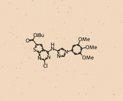 COc1cc(-n2cnc(Nc3nc(Cl)nc4sc(C(=O)OCC(C)C)cc34)c2)cc(OC)c1OC